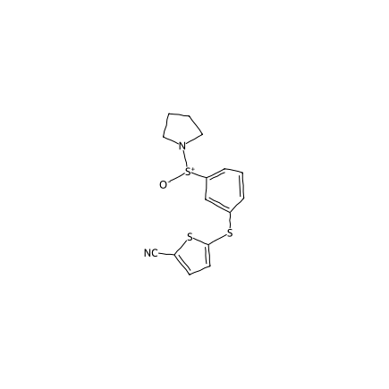 N#Cc1ccc(Sc2cccc([S+]([O-])N3CCCC3)c2)s1